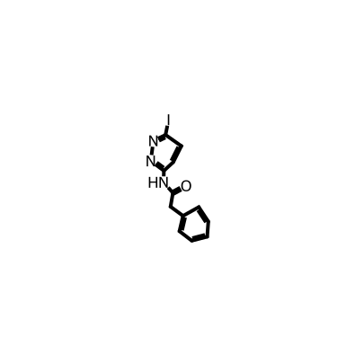 O=C(Cc1ccccc1)Nc1ccc(I)nn1